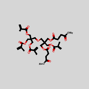 C=C(C)C(=O)OCC(COCC(COC(=O)C(=C)C)(COC(=O)C(=C)C)COC(=O)C(=C)C)(COC(=O)CCC(=O)OC)COC(=O)CCC(=O)OC